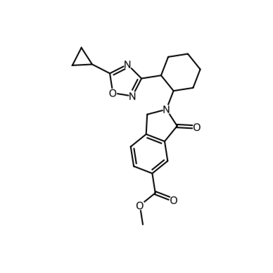 COC(=O)c1ccc2c(c1)C(=O)N(C1CCCCC1c1noc(C3CC3)n1)C2